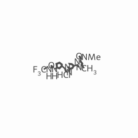 CNC(=O)c1cc(C)nc(-c2ccn3c(-c4cccc(NC(=O)NCC(F)(F)F)c4)cnc3c2)n1.Cl